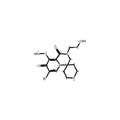 CCCCOc1c2n(cc(Br)c1=O)C1(CCOCC1)CN(CCOC)C2=O